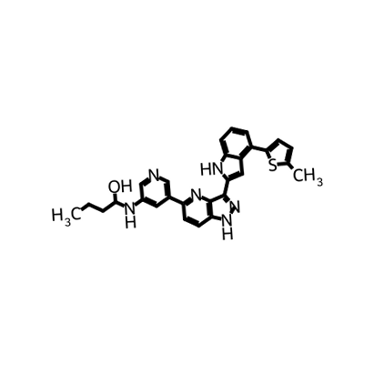 CCCC(O)Nc1cncc(-c2ccc3[nH]nc(-c4cc5c(-c6ccc(C)s6)cccc5[nH]4)c3n2)c1